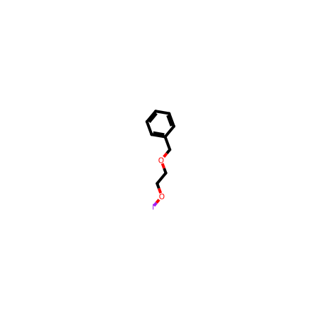 IOCCOCc1ccccc1